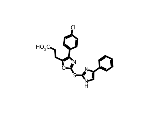 O=C(O)CCc1oc(Sc2nc(-c3ccccc3)c[nH]2)nc1-c1ccc(Cl)cc1